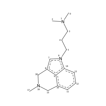 CN(C)CCCn1cc2c3c(cccc31)CN(C)C2